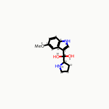 COc1ccc2[nH]cc(C(O)(O)C3CCCN3)c2c1